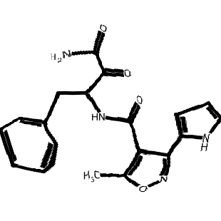 Cc1onc(-c2ccc[nH]2)c1C(=O)NC(Cc1ccccc1)C(=O)C(N)=O